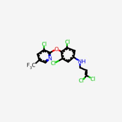 FC(F)(F)c1cnc(Oc2c(Cl)cc(NCC=C(Cl)Cl)cc2Cl)c(Cl)c1